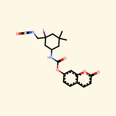 CC1(C)CC(NC(=O)Oc2ccc3ccc(=O)oc3c2)CC(I)(CN=C=O)C1